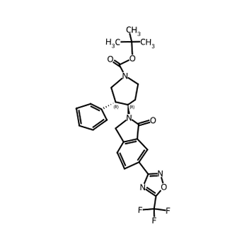 CC(C)(C)OC(=O)N1CC[C@@H](N2Cc3ccc(-c4noc(C(F)(F)F)n4)cc3C2=O)[C@H](c2ccccc2)C1